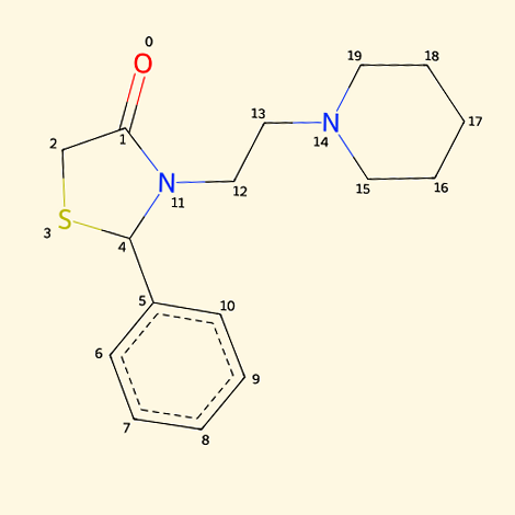 O=C1CSC(c2ccccc2)N1CCN1CCCCC1